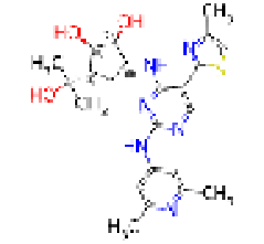 Cc1cc(Nc2ncc(-c3nc(C)cs3)c(N[C@@H]3C[C@H](C(C)(C)O)[C@@H](O)[C@H]3O)n2)cc(C)n1